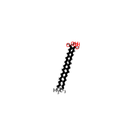 CCCCCCCCCC/C=C/CCCCCCCCCC(=O)O.CCCCCCCCCCCCCCCCCCC/C=C/C(=O)O